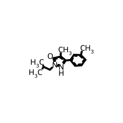 Cc1cccc(-c2[nH]n(CC(C)C)c(=O)c2C)c1